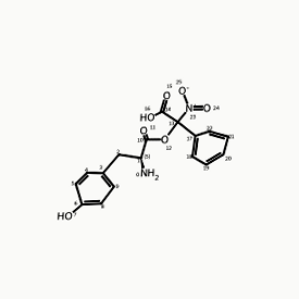 N[C@@H](Cc1ccc(O)cc1)C(=O)OC(C(=O)O)(c1ccccc1)[N+](=O)[O-]